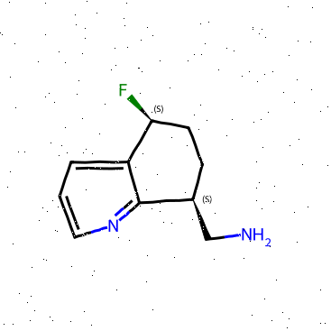 NC[C@@H]1CC[C@H](F)c2cccnc21